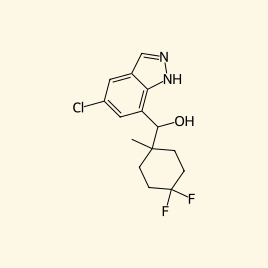 CC1(C(O)c2cc(Cl)cc3cn[nH]c23)CCC(F)(F)CC1